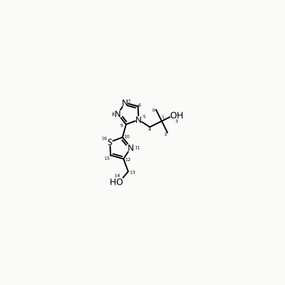 CC(C)(O)Cn1cnnc1-c1nc(CO)cs1